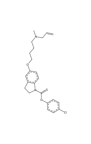 C=CCN(C)CCCCOc1ccc2c(c1)CCN2C(=S)Oc1ccc(Cl)cc1